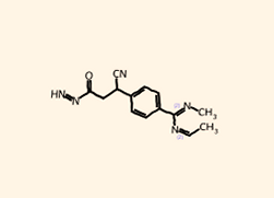 C/C=N\C(=N/C)c1ccc(C(C#N)CC(=O)N=N)cc1